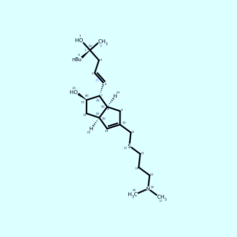 CCCC[C@](C)(O)C/C=C/[C@@H]1[C@H]2CC(CSCCCN(C)C)=C[C@H]2C[C@H]1O